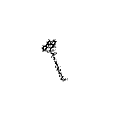 CC[C@@]12C=C(C(=O)NCC(=O)OCCOCCOCCOCCOCCO)n3c4c(c5ccccc53)CCN(CCC1)[C@H]42